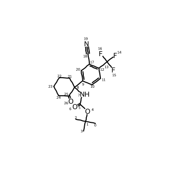 CC(C)(C)OC(=O)NC1(c2ccc(C(F)(F)F)c(C#N)c2)CCCCC1=O